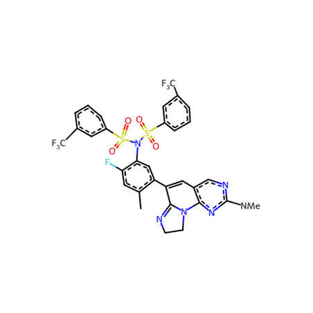 CNc1ncc2c(n1)N1CCN=C1C(c1cc(N(S(=O)(=O)c3cccc(C(F)(F)F)c3)S(=O)(=O)c3cccc(C(F)(F)F)c3)c(F)cc1C)=C2